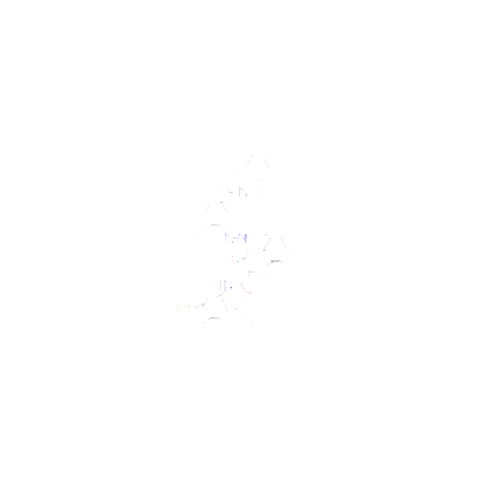 COc1ccc(C(=O)Nc2ccccc2)cc1N=Nc1c(O)c(C(=O)Nc2cc(Cl)ccc2OC)cc2ccccc12